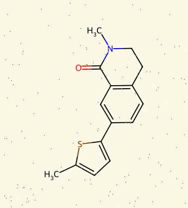 Cc1ccc(-c2ccc3c(c2)C(=O)N(C)CC3)s1